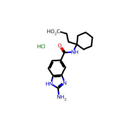 Cl.Nc1nc2cc(C(=O)NC3(CCC(=O)O)CCCCC3)ccc2[nH]1